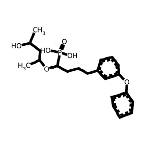 CC(O)CC(C)OC(CCCc1cccc(Oc2ccccc2)c1)P(=O)(O)O